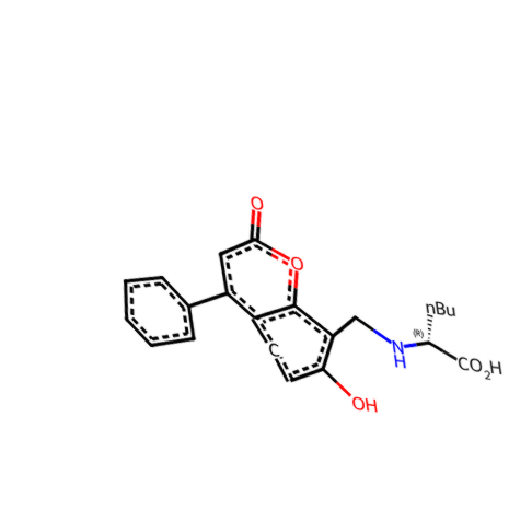 CCCC[C@@H](NCc1c(O)ccc2c(-c3ccccc3)cc(=O)oc12)C(=O)O